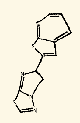 C1=NN2CC(c3cc4ccccc4s3)N=C2S1